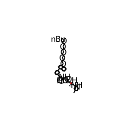 CCCCOCCOCCOCCOCCOc1ccc(-c2cccc([C@H](CC(=O)O)NC(=O)CNC(=O)CCCNc3cc(C)ccn3)c2)c2ccccc12